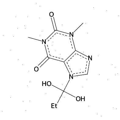 CCC(O)(O)n1cnc2c1c(=O)n(C)c(=O)n2C